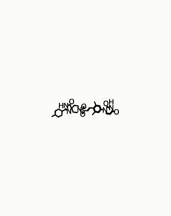 Cc1cc(-n2ccc(=O)[nH]c2=O)cc(C)c1C=CS(=O)(=O)N1CCC2(CC1)N=C(C1CCC(C)CC1)NC2=O